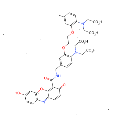 Cc1ccc(N(CC(=O)O)CC(=O)O)c(OCCOc2cc(CNC(=O)c3c4oc5cc(O)ccc5nc-4ccc3=O)ccc2N(CC(=O)O)CC(=O)O)c1